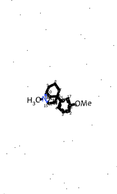 COc1cccc(C23CCCC(C2C)N(C)CC3)c1